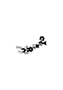 NC(=O)C(CCC=O)N1C(=O)c2ccc(NC[C@H]3C[C@H](N4CC(N5CCCCC5)C(C5CC5)=N4)C3)cc2C1=O